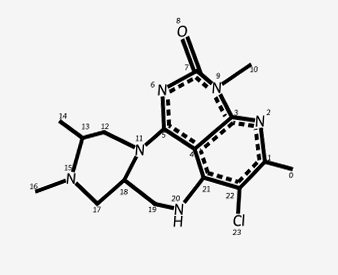 Cc1nc2c3c(nc(=O)n2C)N2CC(C)N(C)CC2CNc3c1Cl